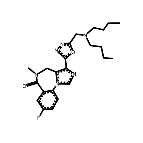 CCCCN(CCCC)Cc1nnc(-c2ncn3c2CN(C)C(=O)c2cc(F)ccc2-3)o1